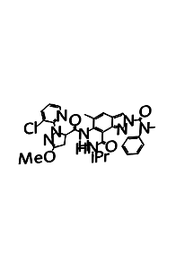 COC1=NN(c2ncccc2Cl)C(C(=O)Nc2c(C)cc3cn(C(=O)N(C)c4ccccc4)nc3c2C(=O)NC(C)C)C1